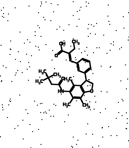 CC/C(=C\c1cccc(C2COc3c(C)c(C)c(NC(=O)CC(C)(C)C)c(C)c32)c1)C(=O)O